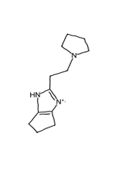 C1CC2=C(C1)NC(CCN1CCCC1)=[N+]2